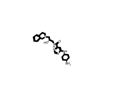 N[C@H]1CC[C@@H](Nc2cc(C(=O)NC[C@H](O)CN3CCc4ccccc4C3)ncn2)CC1